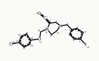 O=C=C1CN(Cc2ccc(F)cc2)CCN1COc1ccc(Cl)cc1